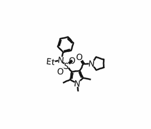 CCN(c1ccccc1)S(=O)(=O)c1c(C(=O)N2CCCC2)c(C)n(C)c1C